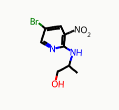 CC(CO)Nc1ncc(Br)cc1[N+](=O)[O-]